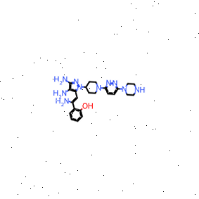 N/C(=C\c1c(N)c(N)nn1C1CCN(c2ccc(N3CCNCC3)nn2)CC1)c1ccccc1O